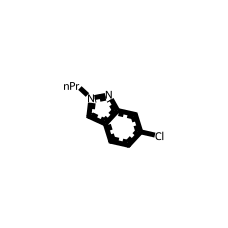 CCCn1cc2ccc(Cl)cc2n1